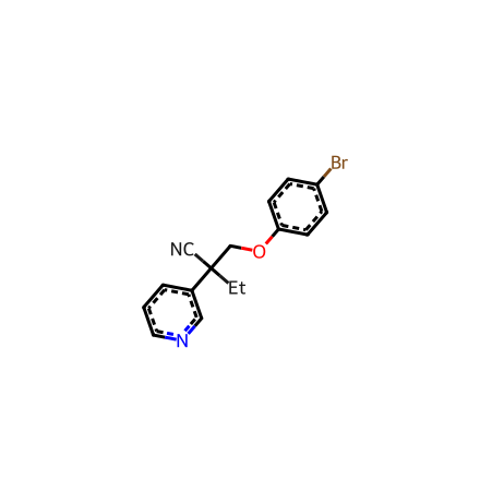 CCC(C#N)(COc1ccc(Br)cc1)c1cccnc1